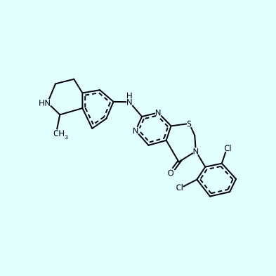 CC1NCCc2cc(Nc3ncc4c(n3)SCN(c3c(Cl)cccc3Cl)C4=O)ccc21